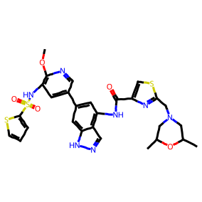 COc1ncc(-c2cc(NC(=O)c3csc(CN4CC(C)OC(C)C4)n3)c3cn[nH]c3c2)cc1NS(=O)(=O)c1cccs1